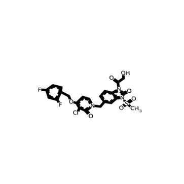 CS(=O)(=O)n1c(=O)n(C(=O)CO)c2ccc(Cn3ccc(OCc4ccc(F)cc4F)c(Cl)c3=O)cc21